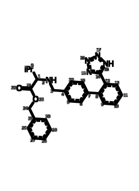 CC(C)C(NCc1ccc(-c2ccccc2-c2nnn[nH]2)cc1)C(=O)OCc1ccccc1